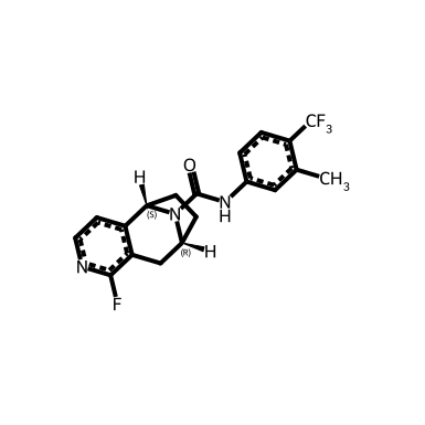 Cc1cc(NC(=O)N2[C@@H]3CC[C@H]2c2ccnc(F)c2C3)ccc1C(F)(F)F